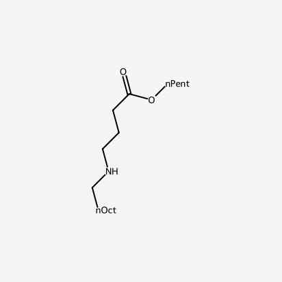 CCCCCCCCCNCCCC(=O)OCCCCC